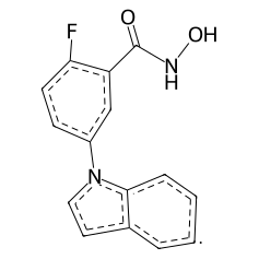 O=C(NO)c1cc(-n2ccc3c[c]ccc32)ccc1F